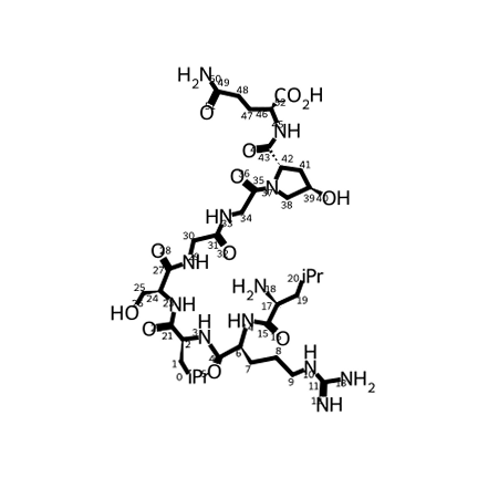 CC(C)C[C@H](NC(=O)[C@H](CCCNC(=N)N)NC(=O)[C@@H](N)CC(C)C)C(=O)N[C@@H](CO)C(=O)NCC(=O)NCC(=O)N1C[C@H](O)C[C@H]1C(=O)N[C@@H](CCC(N)=O)C(=O)O